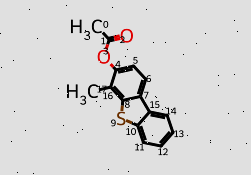 CC(=O)Oc1ccc2c(sc3ccccc32)c1C